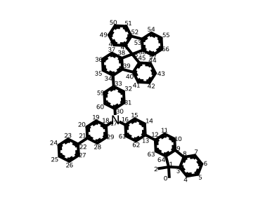 CC1(C)c2ccccc2-c2ccc(-c3ccc(N(c4ccc(-c5ccccc5)cc4)c4ccc(-c5cccc6c5-c5ccccc5C65c6ccccc6-c6ccccc65)cc4)cc3)cc21